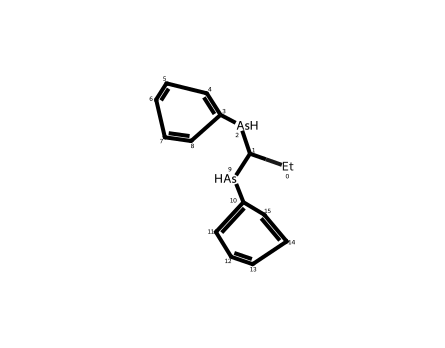 CCC([AsH]c1ccccc1)[AsH]c1ccccc1